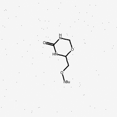 CCCCOCC1NC(=O)NCO1